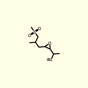 CCC(C)C(C)C1OC1CC(C)CS(C)(=O)=O